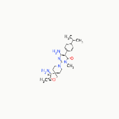 CC(C)c1ccc(-c2c(N)nc(N3CCC4(CC3)CO[C@@H](C)[C@H]4N)n(C)c2=O)cc1